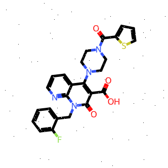 O=C(O)c1c(N2CCN(C(=O)c3cccs3)CC2)c2cccnc2n(Cc2ccccc2F)c1=O